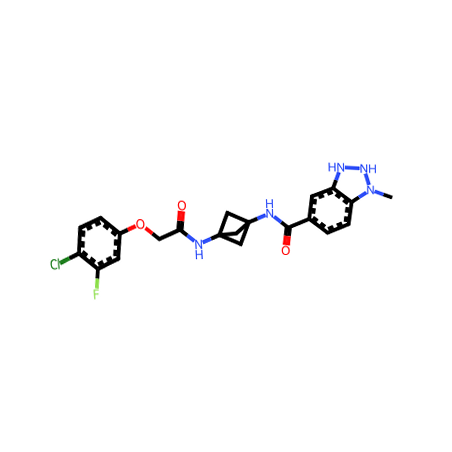 CN1NNc2cc(C(=O)NC34CC(NC(=O)COc5ccc(Cl)c(F)c5)(C3)C4)ccc21